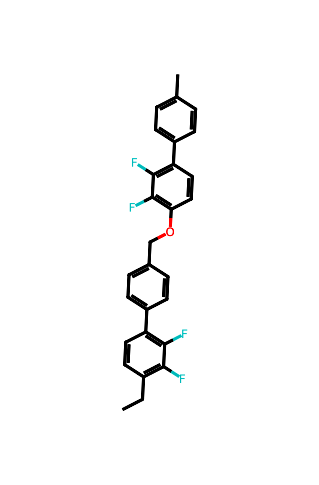 CCc1ccc(-c2ccc(COc3ccc(-c4ccc(C)cc4)c(F)c3F)cc2)c(F)c1F